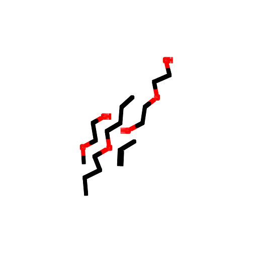 C=CC.CCCCOCCCC.COCCO.OCCOCCO